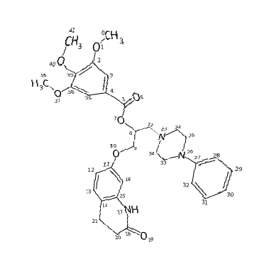 COc1cc(C(=O)OC(COc2ccc3c(c2)NC(=O)CC3)CN2CCN(c3ccccc3)CC2)cc(OC)c1OC